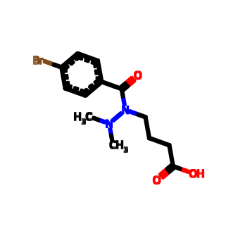 CN(C)N(CCCC(=O)O)C(=O)c1ccc(Br)cc1